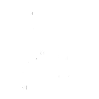 ClC1CCC(OCCCCBr)C(c2ccccc2)C1